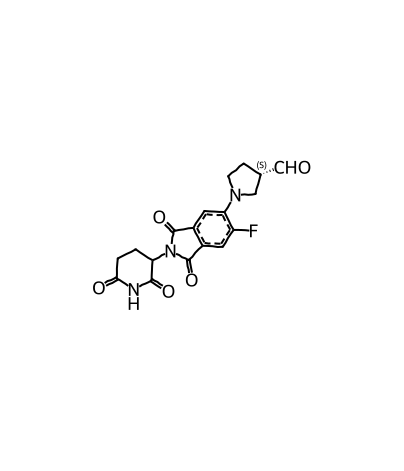 O=C[C@H]1CCN(c2cc3c(cc2F)C(=O)N(C2CCC(=O)NC2=O)C3=O)C1